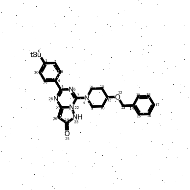 CC(C)(C)c1ccc(-c2nc(N3CCC(OCc4ccccc4)CC3)n3[nH]c(=O)cc3n2)cc1